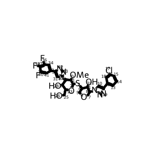 COC1C(SC2COCC(n3cc(-c4cccc(Cl)c4)nn3)C2O)OC(CO)C(O)C1n1cc(-c2cc(F)c(F)c(F)c2)nn1